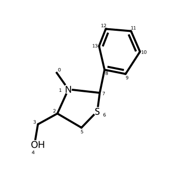 CN1C(CO)CSC1c1ccccc1